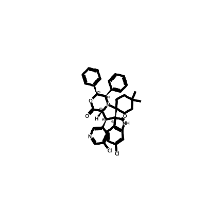 CC1(C)CCC2(CC1)N1[C@H](c3ccccc3)[C@H](c3ccccc3)OC(=O)[C@H]1[C@H](c1cncc(Cl)c1)[C@@]21C(=O)Nc2cc(Cl)ccc21